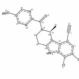 C#Cc1cc(Cl)c(Cl)c2[nH]c3c(c12)[C@H](C)N(C(=O)c1ncc(OC)cn1)CC3